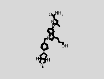 Cc1cc(C(N)=O)nn1-c1ccc2c(c1)c(CCCO)cn2Cc1ccc([C@H]2C[C@@H]3CN(C)C[C@@H]3C2)cc1